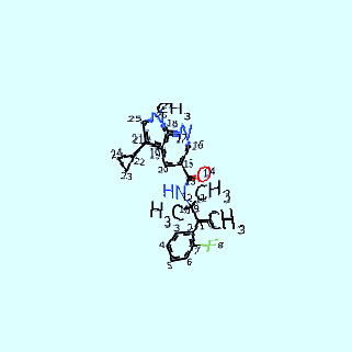 CC(c1ccccc1F)C(C)(C)NC(=O)c1cnc2c(c1)c(C1CC1)cn2C